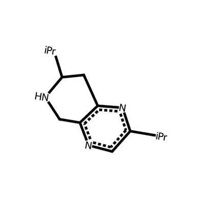 CC(C)c1cnc2c(n1)CC(C(C)C)NC2